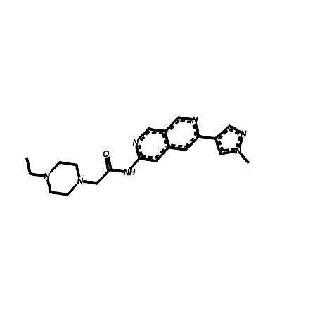 CCN1CCN(CC(=O)Nc2cc3cc(-c4cnn(C)c4)ncc3cn2)CC1